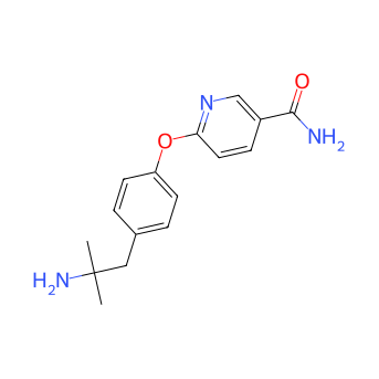 CC(C)(N)Cc1ccc(Oc2ccc(C(N)=O)cn2)cc1